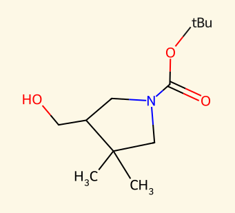 CC(C)(C)OC(=O)N1CC(CO)C(C)(C)C1